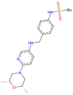 C[C@@H]1CN(c2ccc(NCc3ccc(NS(=O)(=O)C(C)(C)C)cc3)cn2)C[C@H](C)O1